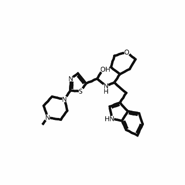 CN1CCN(c2ncc(C(O)NC(Cc3c[nH]c4ccccc34)C3CCOCC3)s2)CC1